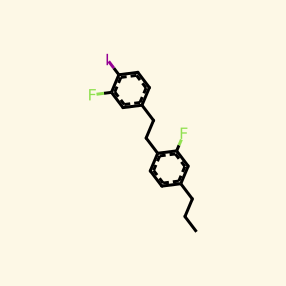 CCCc1ccc(CCc2ccc(I)c(F)c2)c(F)c1